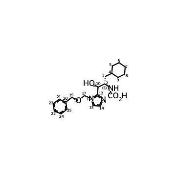 O=C(O)N[C@@H](CC1CCCCC1)C(O)c1nccn1COCc1ccccc1